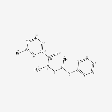 CN(CC(O)Cc1ccccc1)C(=O)c1cncc(Br)c1